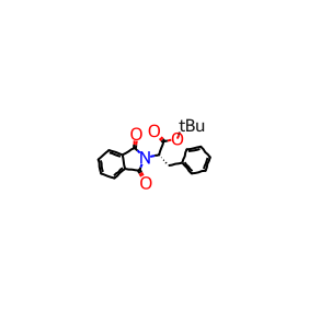 CC(C)(C)OC(=O)[C@H](Cc1ccccc1)N1C(=O)c2ccccc2C1=O